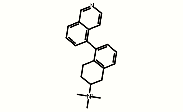 C[N+](C)(C)C1CCc2c(cccc2-c2cccc3cnccc23)C1